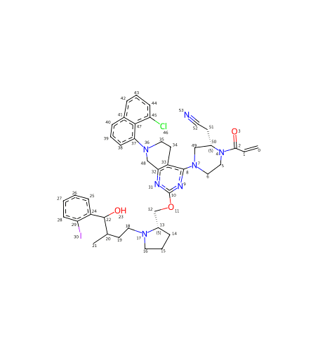 C=CC(=O)N1CCN(c2nc(OC[C@@H]3CCCN3CCC(C)C(O)c3ccccc3I)nc3c2CCN(c2cccc4cccc(Cl)c24)C3)C[C@@H]1CC#N